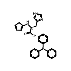 O=[C]([Rh])[C@H](Cc1c[nH]cn1)NC1=CC=CC1.c1ccc(P(c2ccccc2)c2ccccc2)cc1